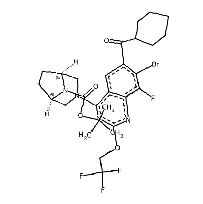 CC(C)(C)OC(=O)N1[C@@H]2CC[C@H]1CN(c1nc(OCC(F)(F)F)nc3c(F)c(Br)c(C(=O)C4CCCCC4)cc13)C2